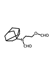 O=COCCN(C=O)C12CC3CC(CC(C3)C1)C2